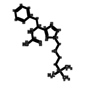 C[Si](C)(C)CCOCn1nnc(C(Cc2ccccc2)NC(=O)O)n1